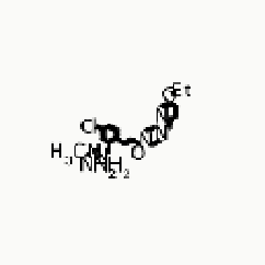 CCOc1ccc(CN2CCN(C(=O)/C=C/c3ccc(Cl)cc3CN(N)/N=C(/C)N)CC2)nc1